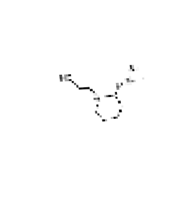 CC(C)(C)[Si](C)(C)OC1CCCC[C@H]1CCO